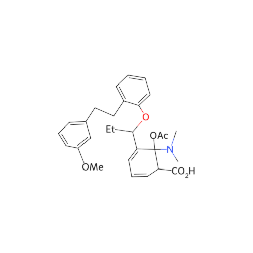 CCC(Oc1ccccc1CCc1cccc(OC)c1)C1=CC=CC(C(=O)O)C1(OC(C)=O)N(C)C